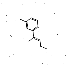 CC/C=C(\C)c1cc(C)ccn1